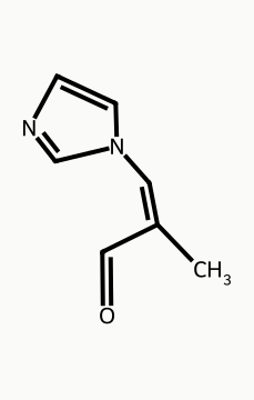 CC(C=O)=Cn1ccnc1